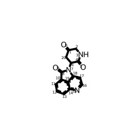 O=C1CNC(=O)C(N2C(=O)c3cccc4nccc2c34)C1